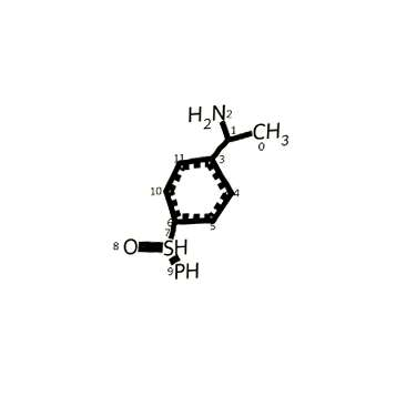 CC(N)c1ccc([SH](=O)=P)cc1